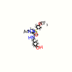 CC(=O)N1CCN(Sc2ccc(OC(F)(F)F)cc2)[C@@H](C(=O)NCCc2ccc(O)cc2)C1